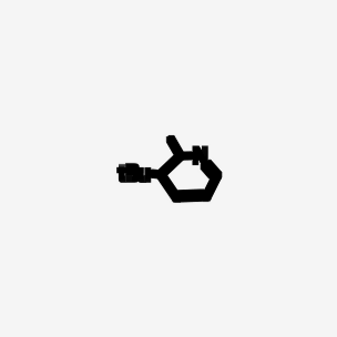 CC1N=CC=CC1C(C)(C)C